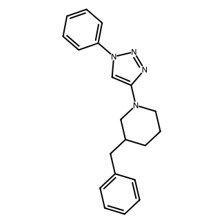 c1ccc(CC2CCCN(c3cn(-c4ccccc4)nn3)C2)cc1